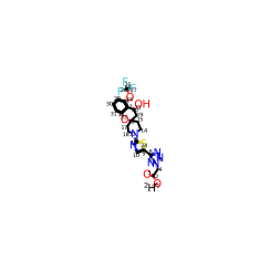 [2H]OC(=O)Cn1nnc(-c2cnc(N3CCC4(CC3)CC(O)c3c(OC(F)(F)F)cccc3O4)s2)n1